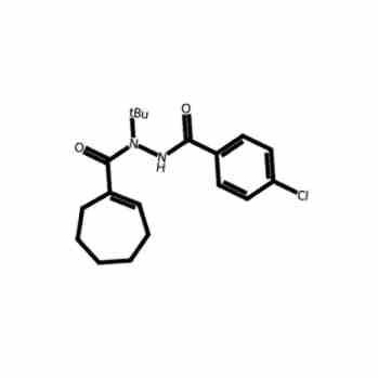 CC(C)(C)N(NC(=O)c1ccc(Cl)cc1)C(=O)C1=CCCCCC1